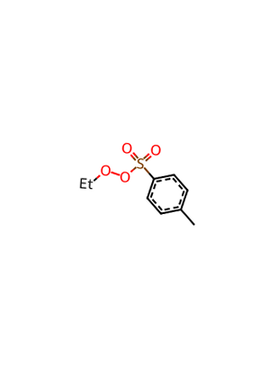 CCOOS(=O)(=O)c1ccc(C)cc1